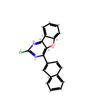 Clc1nc(-c2ccc3ccccc3c2)c2oc3ccccc3c2n1